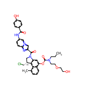 CCCN(CCOCCO)C(=O)Oc1cc2c(c3c(C)cccc13)[C@H](CCl)CN2C(=O)c1cn2cc(NC(=O)c3ccc(O)cc3)ccc2n1